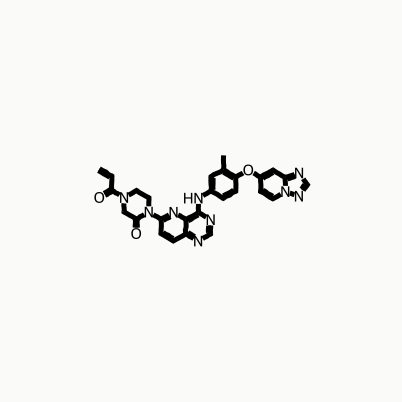 C=CC(=O)N1CCN(c2ccc3ncnc(Nc4ccc(Oc5ccn6ncnc6c5)c(C)c4)c3n2)C(=O)C1